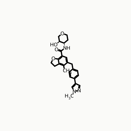 Cc1c(Cc2ccc(-c3cnn(C)c3)cc2)cc(C(=O)N[C@H]2CCOC[C@@H]2O)c2c1CCO2